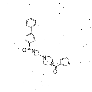 O=C(c1ccccc1)N1CCN(C2CN(C(=O)c3ccc(-c4ccccc4)cc3)C2)CC1